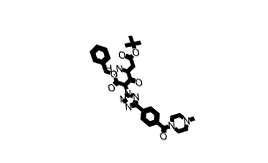 CN1CCN(C(=O)c2ccc(-c3nnn(C(C(=O)OCc4ccccc4)C(=O)C(N)CC(=O)OC(C)(C)C)n3)cc2)CC1